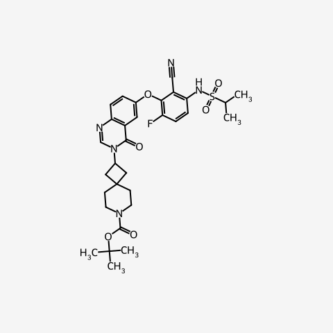 CC(C)S(=O)(=O)Nc1ccc(F)c(Oc2ccc3ncn(C4CC5(CCN(C(=O)OC(C)(C)C)CC5)C4)c(=O)c3c2)c1C#N